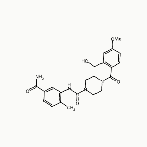 COc1ccc(C(=O)N2CCN(C(=O)Nc3cc(C(N)=O)ccc3C)CC2)c(CO)c1